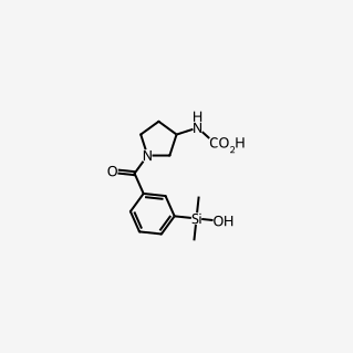 C[Si](C)(O)c1cccc(C(=O)N2CCC(NC(=O)O)C2)c1